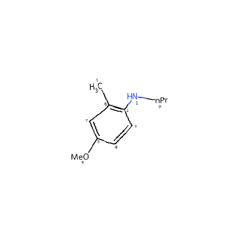 CCCNc1ccc(OC)cc1C